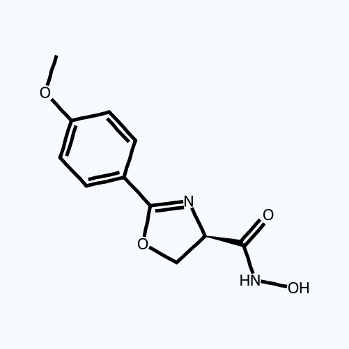 COc1ccc(C2=N[C@@H](C(=O)NO)CO2)cc1